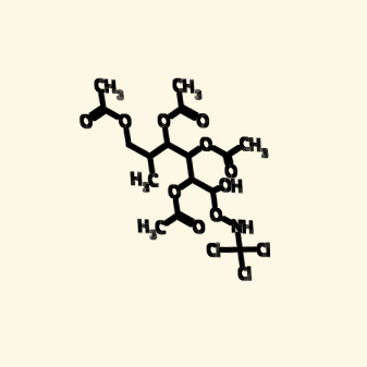 CC(=O)OCC(C)C(OC(C)=O)C(OC(C)=O)C(OC(C)=O)C(O)ONC(Cl)(Cl)Cl